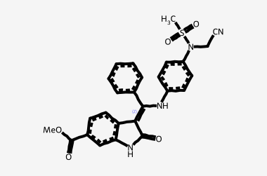 COC(=O)c1ccc2c(c1)NC(=O)/C2=C(\Nc1ccc(N(CC#N)S(C)(=O)=O)cc1)c1ccccc1